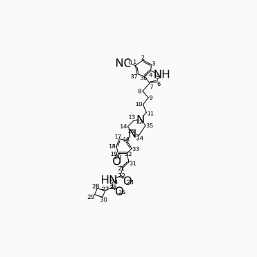 N#Cc1ccc2[nH]cc(CCCCN3CCN(c4ccc5oc(C(=O)NC(=O)C6CCC6)cc5c4)CC3)c2c1